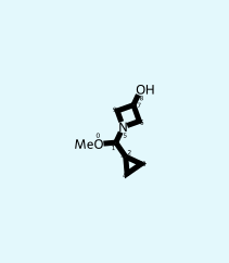 COC([C]1CC1)N1CC(O)C1